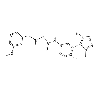 COc1cccc(CNCC(=O)Nc2ccc(OC)c(-c3c(Br)cnn3C)c2)c1